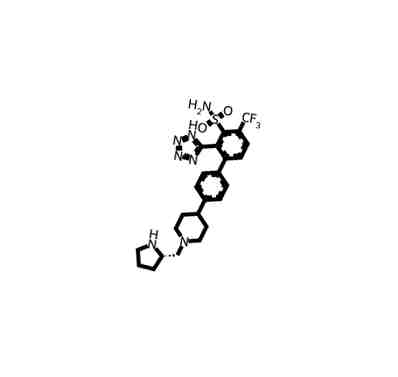 NS(=O)(=O)c1c(C(F)(F)F)ccc(-c2ccc(C3CCN(C[C@@H]4CCCN4)CC3)cc2)c1-c1nnn[nH]1